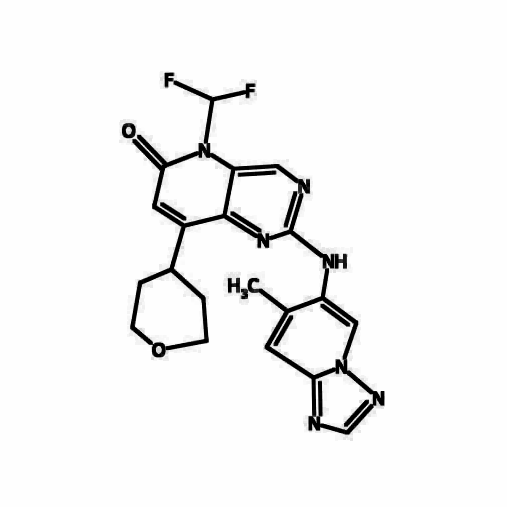 Cc1cc2ncnn2cc1Nc1ncc2c(n1)c(C1CCOCC1)cc(=O)n2C(F)F